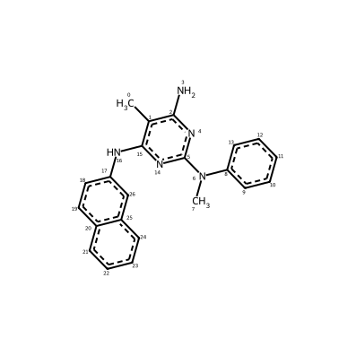 Cc1c(N)nc(N(C)c2ccccc2)nc1Nc1ccc2ccccc2c1